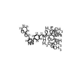 COC(C)(C)[C@@H]1OC(C(=O)NCc2ccc(-n3nncc3COC3CCCCO3)cc2)[C@@H](OC(C)(C)C)[C@H](O)[C@@H]1O